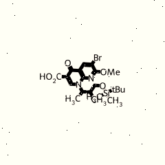 COc1nc2c(cc1Br)c(=O)c(C(=O)O)cn2C(C)C(C)CO[Si](C)(C)C(C)(C)C